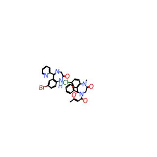 CC1=CC(=O)N2CC(=O)N(C)c3ccc(Cl)cc3C2(c2ccccc2)O1.O=C1CN=C(c2ccccn2)c2cc(Br)ccc2N1